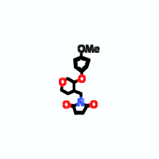 COc1ccc(OC2COCCC2CN2C(=O)C=CC2=O)cc1